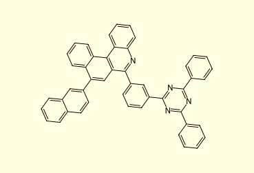 c1ccc(-c2nc(-c3ccccc3)nc(-c3cccc(-c4nc5ccccc5c5c4cc(-c4ccc6ccccc6c4)c4ccccc45)c3)n2)cc1